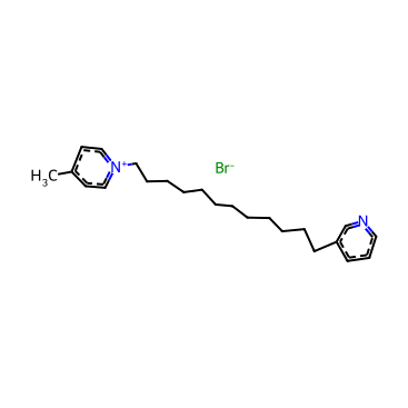 Cc1cc[n+](CCCCCCCCCCCCc2cccnc2)cc1.[Br-]